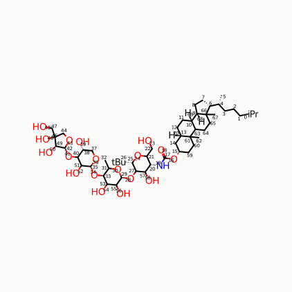 CC(C)CCC[C@@H](C)[C@H]1CC[C@H]2[C@H]3CC[C@H]4C[C@@H](OC(=O)N[C@H]5C(CO)O[C@@H](C(C)(C)C)C(O[C@@H]6OC(C)[C@H](O[C@@H]7OC[C@@H](O)C(O[C@@H]8OCC(O)(CO)[C@@H]8O)C7O)C(O)C6O)C5O)CCC4(C)C3CCC12C